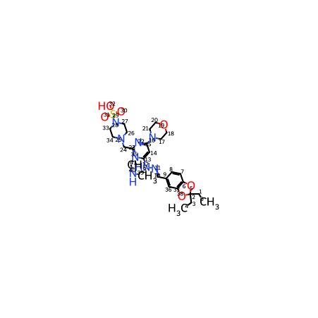 CCC1(CC)Oc2ccc(/C=N/Nc3cc(N4CCOCC4)nc(CN4CCN(S(=O)(=O)O)CC4)n3)cc2O1.CNC